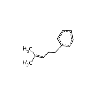 CC(C)=CCCc1ccccc1